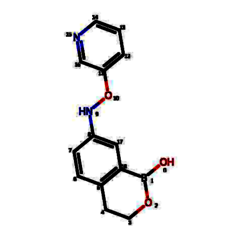 OB1OCCc2ccc(NOc3cccnc3)cc21